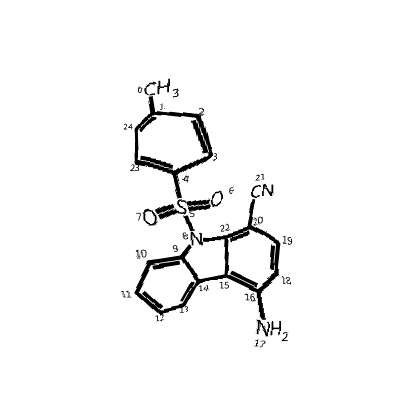 Cc1ccc(S(=O)(=O)n2c3ccccc3c3c(N)ccc(C#N)c32)cc1